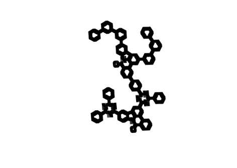 O=c1c2ccc(-c3ccc(-c4nc(-c5ccccc5)nc(-c5cc6c7ccccc7c(=O)n7c8ccc(-c9nc(-c%10ccccc%10)nc(-c%10ccccc%10)n9)cc8c(c5)c67)n4)cc3)cc2c2cc(-c3cccc(-c4cccc(-c5ccccc5)c4)c3)cc3c4cc(-c5cccc(-c6cccc(-c7ccccc7)c6)c5)ccc4n1c23